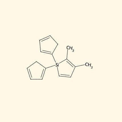 CC1=C(C)[Si](C2=CC=CC2)(C2=CC=CC2)C=C1